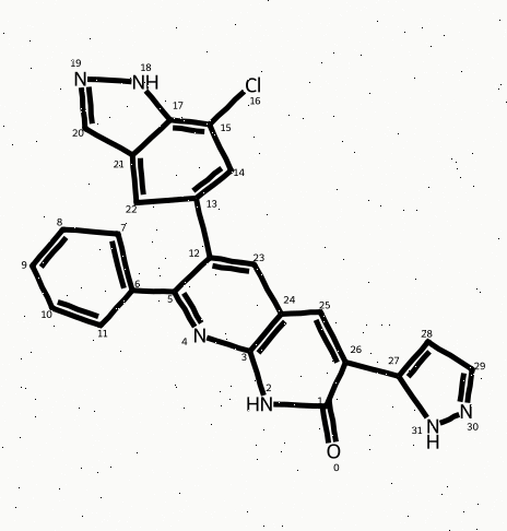 O=c1[nH]c2nc(-c3ccccc3)c(-c3cc(Cl)c4[nH]ncc4c3)cc2cc1-c1ccn[nH]1